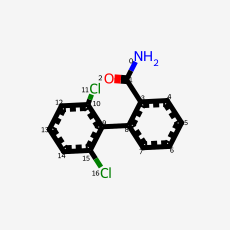 NC(=O)c1ccccc1-c1c(Cl)cccc1Cl